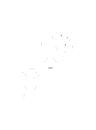 CCc1ccc(Oc2cnc3cc(Cl)ccc3n2)cc1C1=C(O)[C@H]2[C@H]3CC[C@H](C3)[C@H]2C1=O